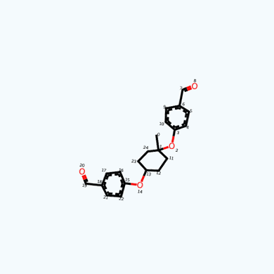 CC1(Oc2ccc(C=O)cc2)CCC(Oc2ccc(C=O)cc2)CC1